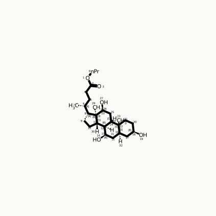 CCCOC(=O)CC[C@@H](C)[C@H]1CC[C@H]2[C@@H]3[C@H](O)C[C@@H]4C[C@H](O)CC[C@]4(C)[C@H]3C[C@H](O)[C@]12C